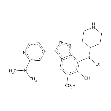 CCN(c1c(C)c(C(=O)O)cc2c(-c3ccnc(N(C)C)c3)ncn12)C1CCNCC1